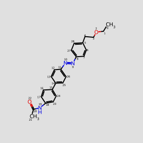 CCOCCc1ccc(N=Nc2ccc(-c3ccc(NC(C)=O)cc3)cc2)cc1